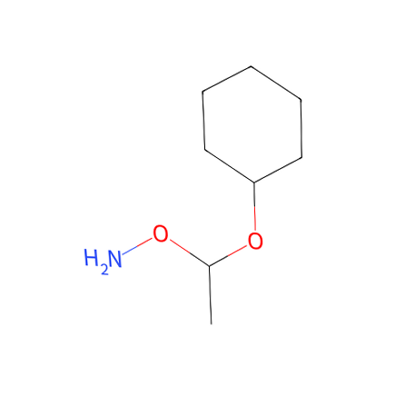 CC(ON)OC1CCCCC1